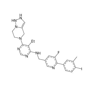 CCc1c(NCc2cnc(-c3ccc(I)c(C)c3)c(F)c2)ncnc1N1CCN2NNC=C2C1